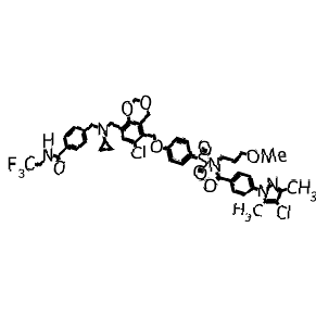 COCCCN(C(=O)c1ccc(-n2nc(C)c(Cl)c2C)cc1)S(=O)(=O)c1ccc(OCc2c(Cl)cc(CN(Cc3ccc(C(=O)NCC(F)(F)F)cc3)C3CC3)c3c2COCO3)cc1